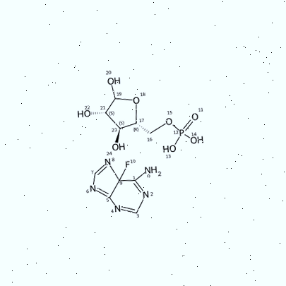 NC1=NC=NC2=NC=NC12F.O=P(O)(O)OC[C@H]1OC(O)[C@@H](O)[C@@H]1O